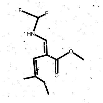 CC/C(C)=C\C(=C/NC(F)F)C(=O)OC